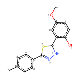 COc1ccc(O)c(C2NN=C(c3ccc(C)cc3)S2)c1